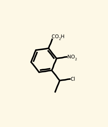 CC(Cl)c1cccc(C(=O)O)c1[N+](=O)[O-]